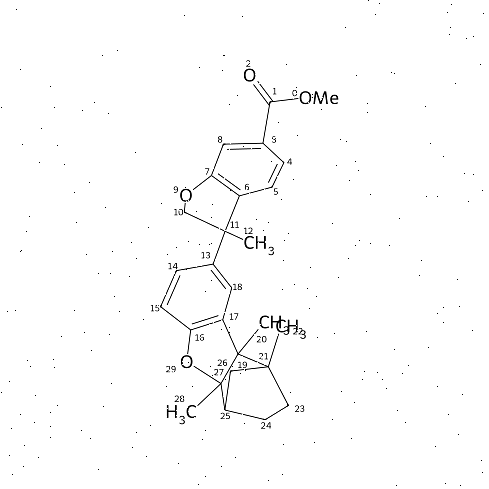 COC(=O)c1ccc2c(c1)OCC2(C)c1ccc2c(c1)C1(C)C3(C)CCC(C3)C1(C)O2